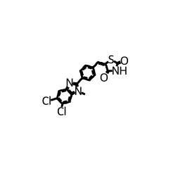 Cn1c(-c2ccc(C=C3SC(=O)NC3=O)cc2)nc2cc(Cl)c(Cl)cc21